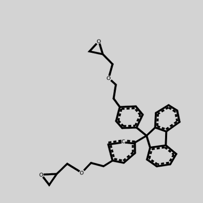 c1ccc2c(c1)-c1ccccc1C2(c1ccc(CCOCC2CO2)cc1)c1ccc(CCOCC2CO2)cc1